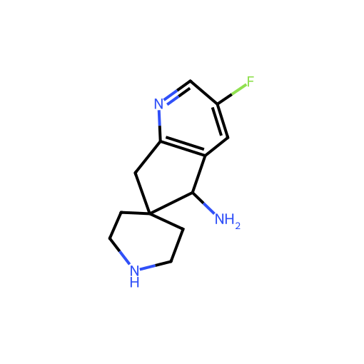 NC1c2cc(F)cnc2CC12CCNCC2